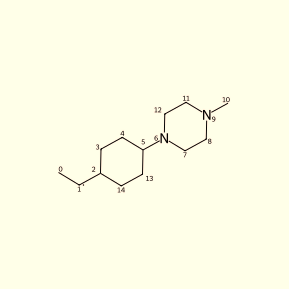 C[CH]C1CCC(N2CCN(C)CC2)CC1